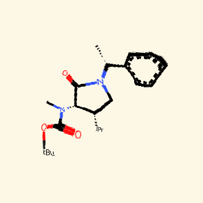 CC(C)[C@H]1CN([C@H](C)c2ccccc2)C(=O)[C@H]1N(C)C(=O)OC(C)(C)C